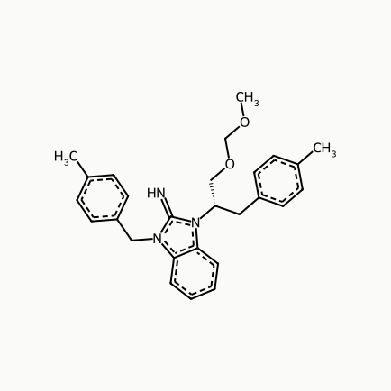 COCOC[C@H](Cc1ccc(C)cc1)n1c(=N)n(Cc2ccc(C)cc2)c2ccccc21